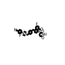 N#Cc1ccc(N2CCN(Cc3ccc(Cc4ccc5c6c(cc(F)cc46)C(=O)N5[C@@H]4CCC(=O)NC4=O)cc3)CC2)c(F)c1